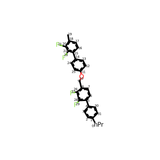 CCCc1ccc(-c2ccc(COc3ccc(-c4ccc(C)c(F)c4F)cc3)c(F)c2F)cc1